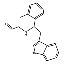 Cc1ccccc1C(Cc1c[nH]c2ccccc12)N[CH]C=O